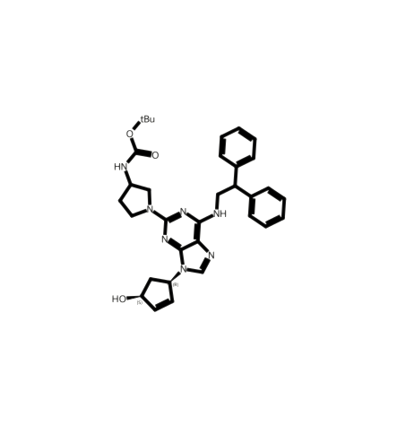 CC(C)(C)OC(=O)NC1CCN(c2nc(NCC(c3ccccc3)c3ccccc3)c3ncn([C@H]4C=C[C@@H](O)C4)c3n2)C1